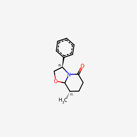 C[C@H]1CCC(=O)N2C1OC[C@H]2c1ccccc1